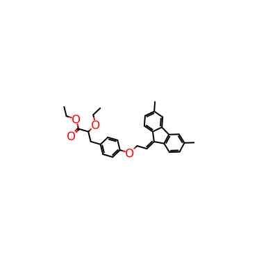 CCOC(=O)C(Cc1ccc(OCC=C2c3ccc(C)cc3-c3cc(C)ccc32)cc1)OCC